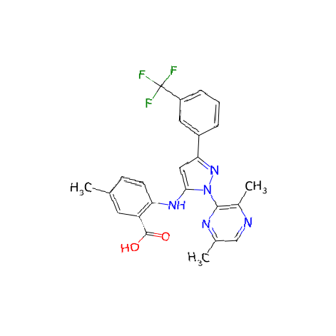 Cc1ccc(Nc2cc(-c3cccc(C(F)(F)F)c3)nn2-c2nc(C)cnc2C)c(C(=O)O)c1